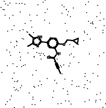 CC#CC(=O)Nc1cc(-c2nc(C)c(C)[nH]2)ccc1OCC1CC1